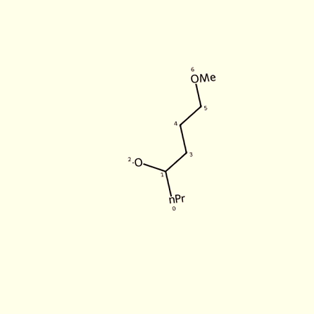 CCCC([O])CCCOC